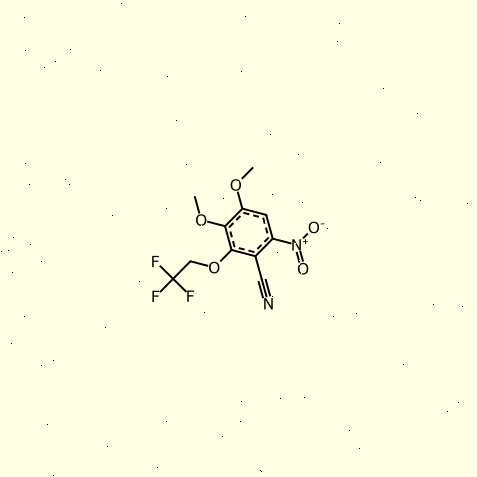 COc1cc([N+](=O)[O-])c(C#N)c(OCC(F)(F)F)c1OC